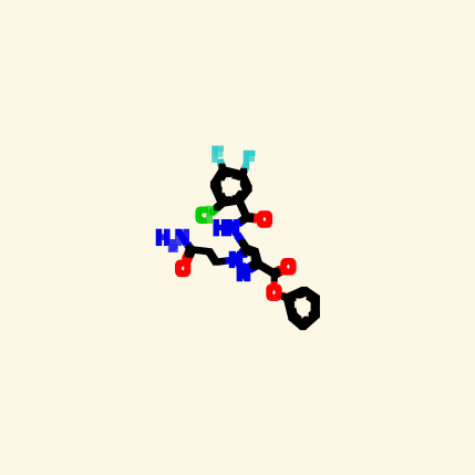 NC(=O)CCn1nc(C(=O)Oc2ccccc2)cc1NC(=O)c1cc(F)c(F)cc1Cl